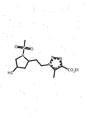 CCOC(=O)c1nnn(CCC2CC(S)CN2S(C)(=O)=O)c1C